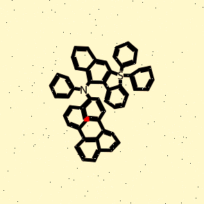 c1ccc(-c2cccc3cccc(-c4ccc(N(c5ccccc5)c5c6c(cc7ccccc57)S(c5ccccc5)(c5ccccc5)c5ccccc5-6)cc4)c23)cc1